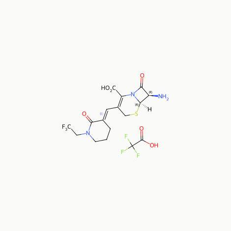 N[C@@H]1C(=O)N2C(C(=O)O)=C(/C=C3\CCCN(CC(F)(F)F)C3=O)CS[C@H]12.O=C(O)C(F)(F)F